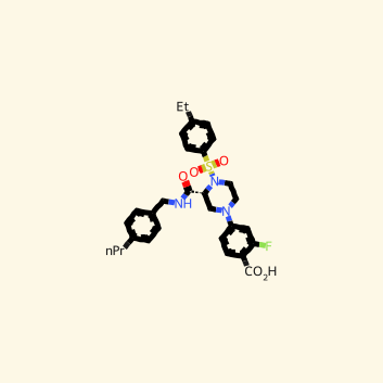 CCCc1ccc(CNC(=O)[C@H]2CN(c3ccc(C(=O)O)c(F)c3)CCN2S(=O)(=O)c2ccc(CC)cc2)cc1